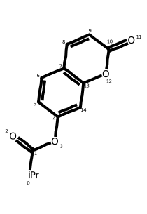 CC(C)C(=O)Oc1ccc2ccc(=O)oc2c1